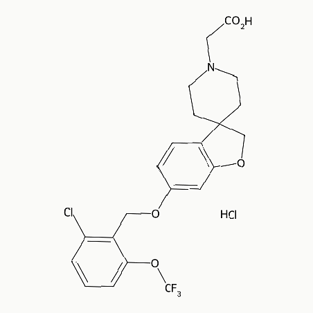 Cl.O=C(O)CN1CCC2(CC1)COc1cc(OCc3c(Cl)cccc3OC(F)(F)F)ccc12